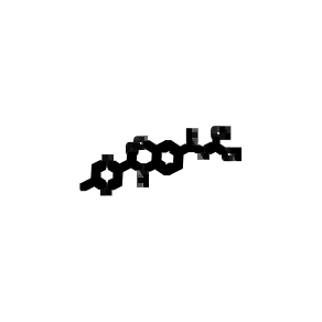 Cc1cnc(C(=O)Nc2ccc(NN=C(C#N)C#N)cc2Cl)cn1